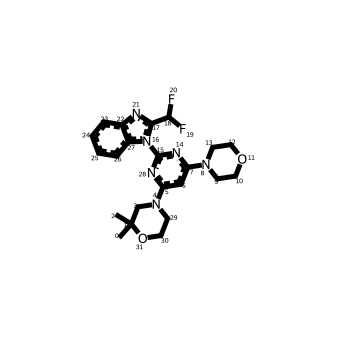 CC1(C)CN(c2cc(N3CCOCC3)nc(-n3c(C(F)F)nc4ccccc43)n2)CCO1